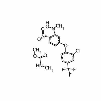 CN(O)c1cc(Oc2ccc(C(F)(F)F)cc2Cl)ccc1[N+](=O)[O-].CNC(=O)OC